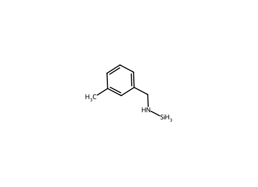 Cc1cccc(CN[SiH3])c1